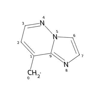 [CH2]c1ccnn2ccnc12